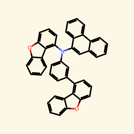 c1cc(-c2cccc3oc4ccccc4c23)cc(N(c2cc3ccccc3c3ccccc23)c2cccc3oc4ccccc4c23)c1